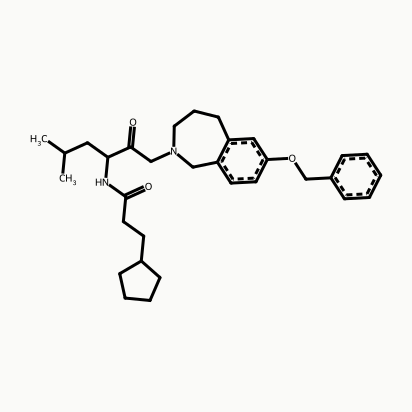 CC(C)CC(NC(=O)CCC1CCCC1)C(=O)CN1CCCc2cc(OCc3ccccc3)ccc2C1